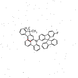 CC1(C)c2ccccc2-c2ccc(N(c3ccc4c(c3)C3(c5ccccc5-c5ccccc53)c3cc(F)ccc3-4)c3ccccc3-c3ccccc3)cc21